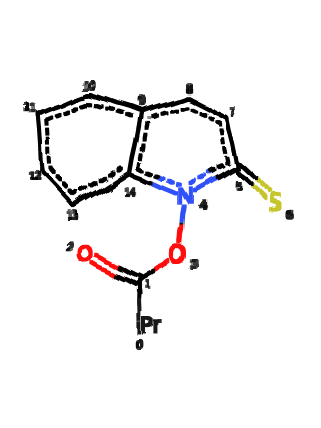 CC(C)C(=O)On1c(=S)ccc2ccccc21